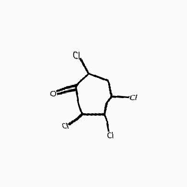 O=C1C(Cl)CC(Cl)C(Cl)C1Cl